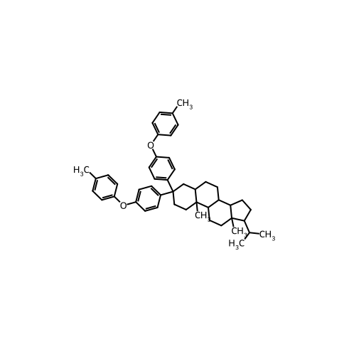 Cc1ccc(Oc2ccc(C3(c4ccc(Oc5ccc(C)cc5)cc4)CCC4(C)C(CCC5C4CCC4(C)C(C(C)C)CCC54)C3)cc2)cc1